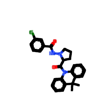 CC1(C)c2ccccc2N(C(=O)C2CCCN2NC(=O)c2cccc(Cl)c2)c2ccccc21